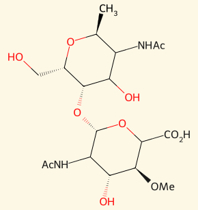 CO[C@@H]1C(C(=O)O)O[C@@H](O[C@H]2C(O)C(NC(C)=O)[C@H](C)O[C@H]2CO)C(NC(C)=O)[C@H]1O